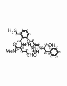 C=Cc1cccc(OC/C(=C/N[C@@H](CO)Cc2ccccc2)N=N)c1CN(C)C(CCC=O)C(=O)NC